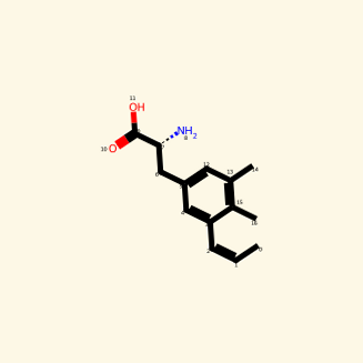 C/C=C\c1cc(C[C@@H](N)C(=O)O)cc(C)c1C